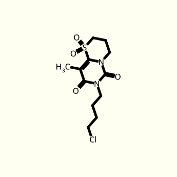 Cc1c2n(c(=O)n(CCCCCl)c1=O)CCCS2(=O)=O